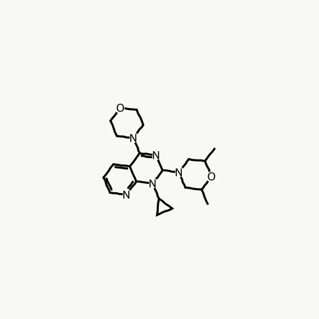 CC1CN(C2N=C(N3CCOCC3)c3cccnc3N2C2CC2)CC(C)O1